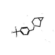 FC(F)(F)c1ccc(CN2CCC3CC3C2)cc1